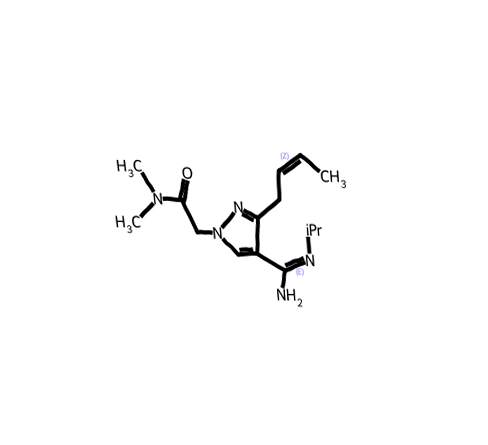 C/C=C\Cc1nn(CC(=O)N(C)C)cc1/C(N)=N\C(C)C